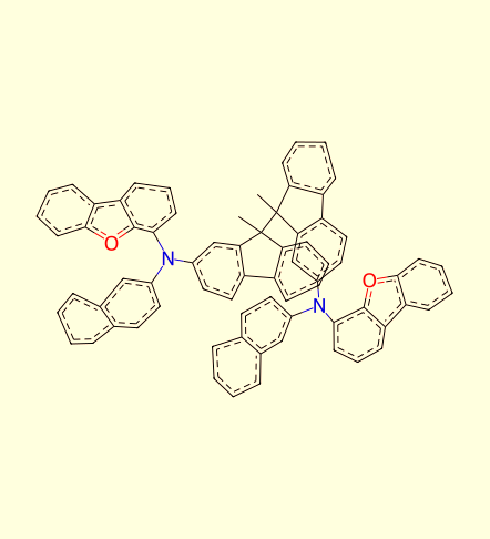 CC1(C2(C)c3ccccc3-c3ccc(N(c4ccc5ccccc5c4)c4cccc5c4oc4ccccc45)cc32)c2ccccc2-c2ccc(N(c3ccc4ccccc4c3)c3cccc4c3oc3ccccc34)cc21